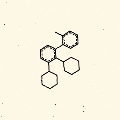 Cc1ccccc1-c1cccc(C2CCCCC2)c1C1CCCCC1